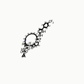 O=C1N[C@]2(C(=O)NS(=O)(=O)C3CC3)C[C@H]2/C=C\CCCCC[C@H](NC2NC(c3ccc(C(F)(F)F)cc3)=CS2)C(=O)N2CCC[C@@H]12